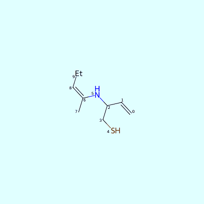 C=CC(CS)N/C(C)=C\CC